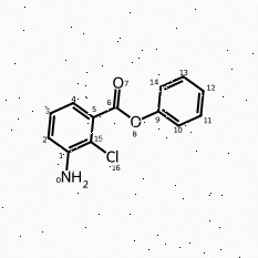 Nc1cccc(C(=O)Oc2ccccc2)c1Cl